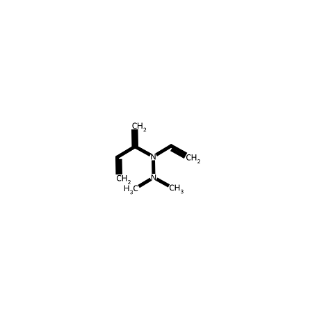 C=CC(=C)N(C=C)N(C)C